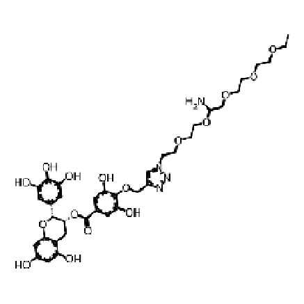 CCOCCOCCOCC(N)OCCOCCn1cc(COc2c(O)cc(C(=O)O[C@@H]3Cc4c(O)cc(O)cc4O[C@@H]3c3cc(O)c(O)c(O)c3)cc2O)nn1